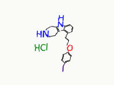 Cl.Ic1ccc(OCCCc2cccc3[nH]c4c(c23)CCNCC4)cc1